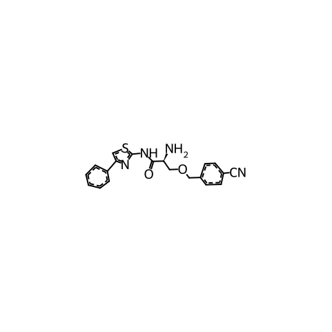 N#Cc1ccc(COC[C@H](N)C(=O)Nc2nc(-c3ccccc3)cs2)cc1